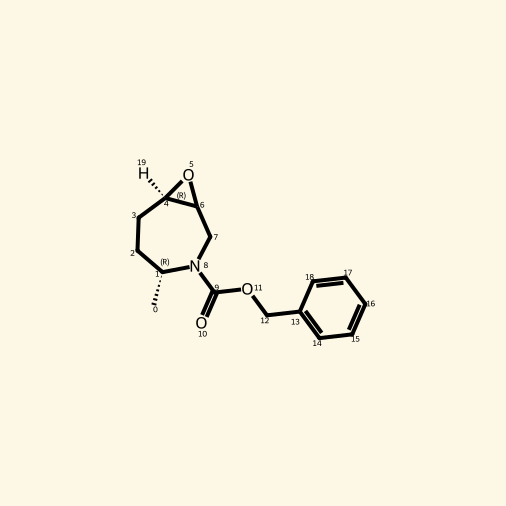 C[C@@H]1CC[C@H]2OC2CN1C(=O)OCc1ccccc1